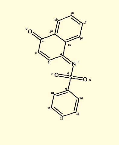 O=C1C=CC(=NS(=O)(=O)c2ccccc2)c2ccccc21